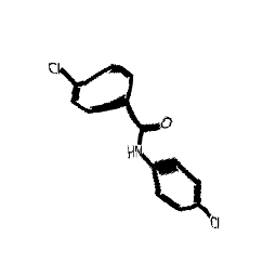 O=C(Nc1ccc(Cl)cc1)c1c[c]c(Cl)cc1